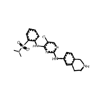 CN(C)S(=O)(=O)c1ccccc1Nc1nc(Nc2ccc3c(c2)CCNC3)ncc1Cl